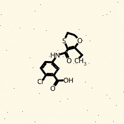 CCC1=C(C(=O)Nc2ccc(Cl)c(C(=O)O)c2)SCCO1